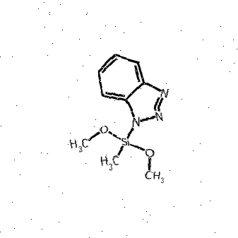 CO[Si](C)(OC)n1nnc2ccccc21